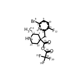 C[C@@H]1C[C@](Cc2nc(Br)ccc2F)(C(=O)OC(=O)C(F)(F)F)CCN1